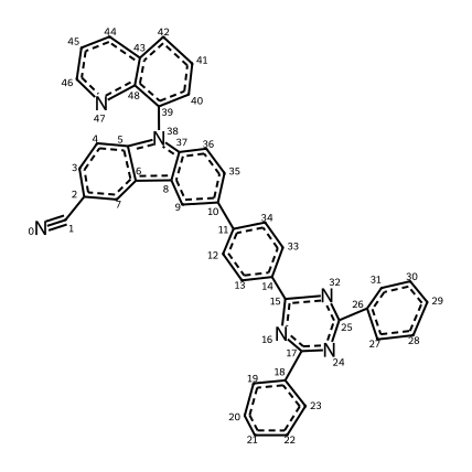 N#Cc1ccc2c(c1)c1cc(-c3ccc(-c4nc(-c5ccccc5)nc(-c5ccccc5)n4)cc3)ccc1n2-c1cccc2cccnc12